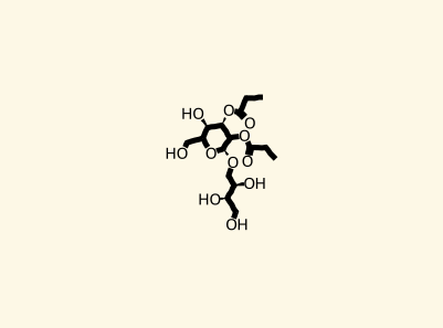 CCC(=O)OC1[C@H](OC[C@@H](O)[C@@H](O)CO)OC(CO)[C@@H](O)[C@@H]1OC(=O)CC